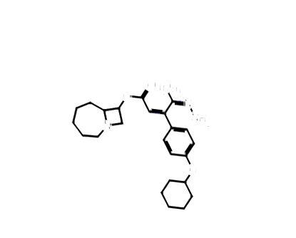 C=C(/C=C(\C(CCCC)=N/N)c1ccc(OC2CCCCC2)cc1)OC1CN2CCCCCC12